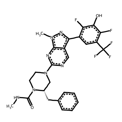 CNC(=O)N1CCN(c2ncc3c(-c4cc(C(F)(F)F)c(F)c(O)c4F)nn(C)c3n2)C[C@@H]1Cc1ccccc1